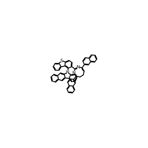 C1=C(c2ccc3ccccc3c2)/N=C(c2ccc3sc4ccccc4c3c2-n2c3ccccc3c3cc4ccccc4cc32)\N=C(\c2ccc3ccccc3c2)CC\1